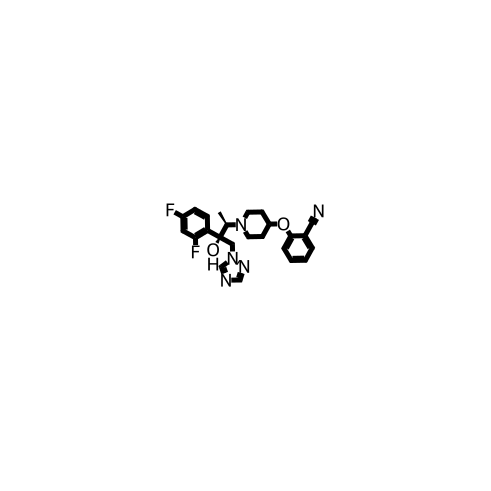 C[C@@H](N1CCC(Oc2ccccc2C#N)CC1)[C@](O)(Cn1cncn1)c1ccc(F)cc1F